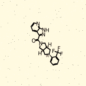 O=C(c1n[nH]c2ncccc12)N1C[C@H]2C[C@@H](c3ccccc3C(F)(F)F)C[C@H]2C1